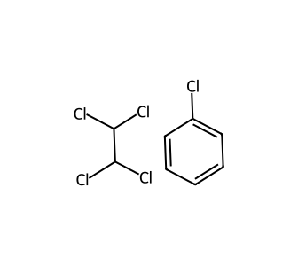 ClC(Cl)C(Cl)Cl.Clc1ccccc1